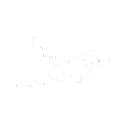 CCNC(=S)N/N=C(C)/C(=N\NC(=S)NCC)c1ccc(CN2C(C)(C)CCCC2(C)C)o1